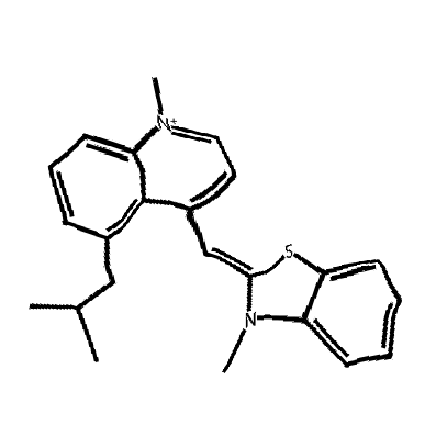 CC(C)Cc1cccc2c1c(/C=C1\Sc3ccccc3N1C)cc[n+]2C